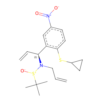 C=CCN([C@@H](C=C)c1cc([N+](=O)[O-])ccc1SC1CC1)[S+]([O-])C(C)(C)C